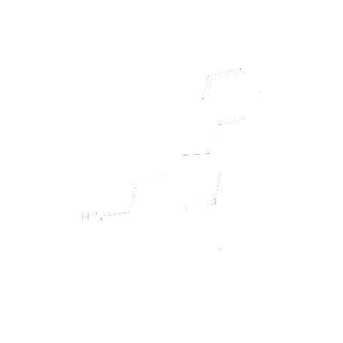 CCOC(=O)CC(CCCCN)c1ccccc1